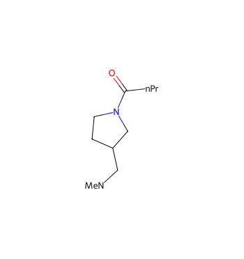 CCCC(=O)N1CCC(CNC)C1